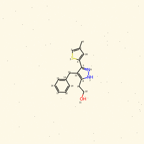 Cc1csc(-c2n[nH]c(CCO)c2Cc2ccccc2)c1